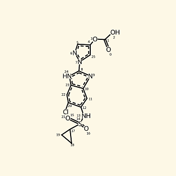 O=C(O)Oc1cnn(-c2nc3cc(NS(=O)(=O)C4CC4)c(Cl)cc3[nH]2)c1